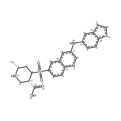 C[C@@H]1CC(S(=O)(=O)c2ccc3ncc(Nc4ccc5scnc5c4)cc3c2)[C@H](C(=O)O)CN1